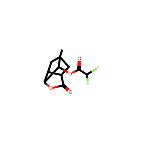 CC12CC3C(=O)OC(C3C1)C2OC(=O)C(F)F